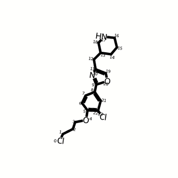 ClCCCOc1ccc(-c2nc(CC3CCCNC3)co2)cc1Cl